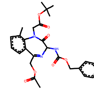 CC(=O)OCC1=NC(NC(=O)OCc2ccccc2)C(=O)N(CC(=O)OC(C)(C)C)c2c(C)cccc21